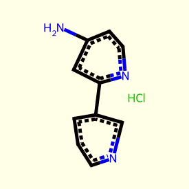 Cl.Nc1ccnc(-c2cccnc2)c1